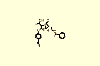 N#Cc1ccc(OC2=C(C(=O)O)N3C(=O)[C@H](CCOC(=O)c4ccccc4)[C@H]3S2)cc1